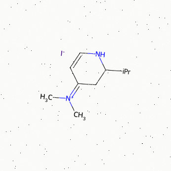 CC(C)C1CC(=[N+](C)C)C=CN1.[I-]